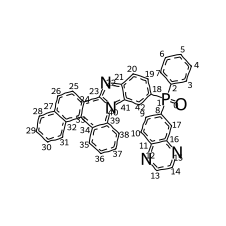 O=P(c1ccccc1)(c1ccc2nccnc2c1)c1ccc2nc3c4ccc5ccccc5c4c4ccccc4n3c2c1